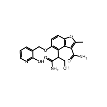 Cc1oc2ccc(OCc3cccnc3O)c(C(CO)C(N)=O)c2c1C(N)=O